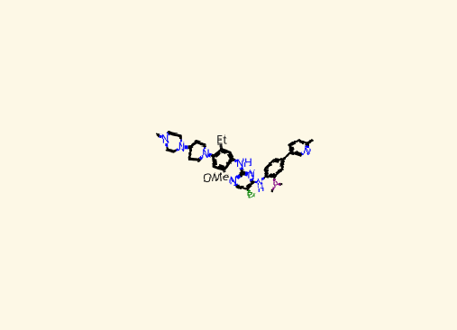 CCc1cc(Nc2ncc(Br)c(Nc3ccc(-c4ccc(C)nc4)cc3P(C)C)n2)c(OC)cc1N1CCC(N2CCN(C)CC2)CC1